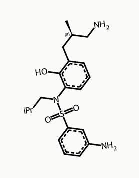 CC(C)CN(c1cccc(C[C@@H](C)CN)c1O)S(=O)(=O)c1cccc(N)c1